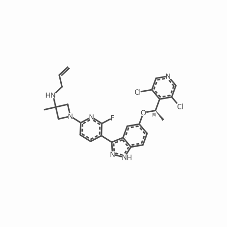 C=CCNC1(C)CN(c2ccc(-c3n[nH]c4ccc(O[C@H](C)c5c(Cl)cncc5Cl)cc34)c(F)n2)C1